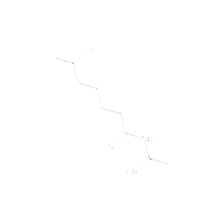 CC(=N)NC(N)CCCCC(C)O